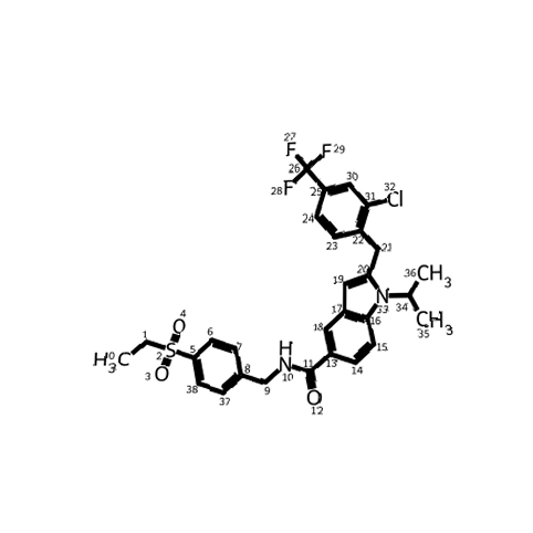 CCS(=O)(=O)c1ccc(CNC(=O)c2ccc3c(c2)cc(Cc2ccc(C(F)(F)F)cc2Cl)n3C(C)C)cc1